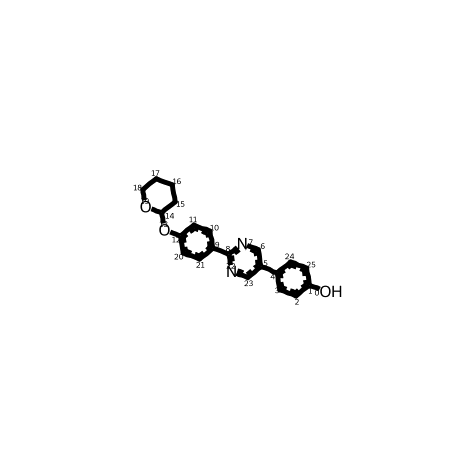 Oc1ccc(-c2cnc(-c3ccc(OC4CCCCO4)cc3)nc2)cc1